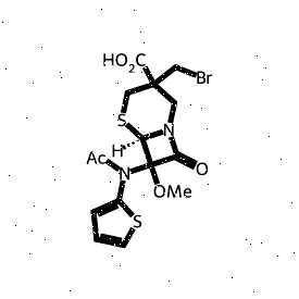 COC1(N(C(C)=O)c2cccs2)C(=O)N2CC(CBr)(C(=O)O)CS[C@@H]21